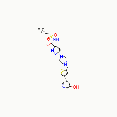 O=C(NS(=O)(=O)CCC(F)(F)F)c1ccc(N2CCN(Cc3cc(-c4cncc(O)c4)cs3)CC2)nn1